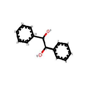 [O]C(c1ccccc1)C([O])c1ccccc1